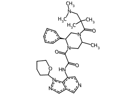 CC1CN(C(=O)C(=O)Nc2cncc3cnn(C4CCCCO4)c23)[C@@H](c2ccccc2)CN1C(=O)C(C)(C)CN(C)C